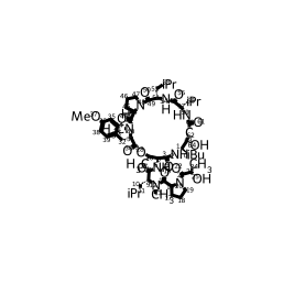 CC[C@H](C)[C@H]1NC(=O)[C@@H](NC(=O)[C@@H](CC(C)C)N(C)C(=O)C2CCCN2C(=O)[C@@H](C)O)[C@@H](C)OC(=O)[C@H](Cc2ccc(OC)cc2)N(C)C(=O)[C@@H]2CCCN2C(=O)[C@H](CC(C)C)NC(=O)[C@H](C(C)C)NC(=O)C[C@@H]1O